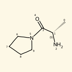 C[C@H](N)C(=O)N1CCCC1